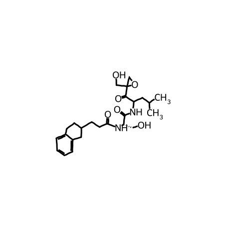 CC(C)CC(NC(=O)[C@H](CO)NC(=O)CCC1CCc2ccccc2C1)C(=O)C1(CO)CO1